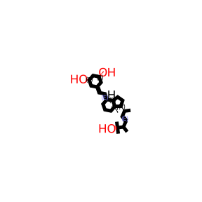 CC(/C=C/C(C)C(C)(C)O)[C@H]1CC[C@H]2/C(=C/C=C3C[C@@H](O)C[C@H](O)C3)CCC[C@]12C